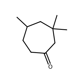 CC1CCC(=O)CC(C)(C)C1